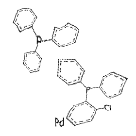 Clc1ccccc1P(c1ccccc1)c1ccccc1.[Pd].c1ccc(P(c2ccccc2)c2ccccc2)cc1